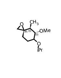 CO[C@@H]1C(OC(C)C)CC[C@]2(CO2)[C@H]1C